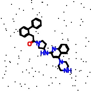 O=C(Cc1ccccc1-c1ccccc1)N1CCC(Nc2cc(N3CCNCC3)c3ccccc3n2)C1